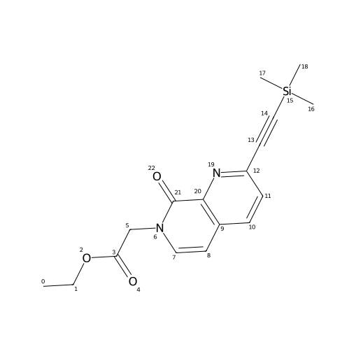 CCOC(=O)Cn1ccc2ccc(C#C[Si](C)(C)C)nc2c1=O